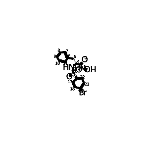 O=C(NO)[C@@H](Cc1ccccc1)NS(=O)(=O)c1ccc(Br)cc1